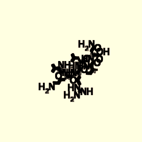 CC[C@H](C)[C@H](NC(=O)[C@H](CC(C)C)NC(=O)[C@H](CCCNC(=N)N)NC(=O)[C@H](CCCCN)NC(=O)[C@@H](N)C(C)C)C(=O)N[C@@H](CC(N)=O)C(=O)O